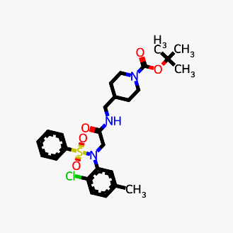 Cc1ccc(Cl)c(N(CC(=O)NCC2CCN(C(=O)OC(C)(C)C)CC2)S(=O)(=O)c2ccccc2)c1